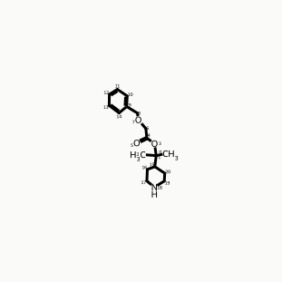 CC(C)(OC(=O)COCc1ccccc1)C1CCNCC1